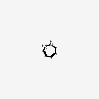 C1=CCNNC=C1